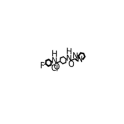 O=C(NC1CCC(C(=O)Nc2ccc(F)cc2Cl)CC1)c1cn2ccccc2n1